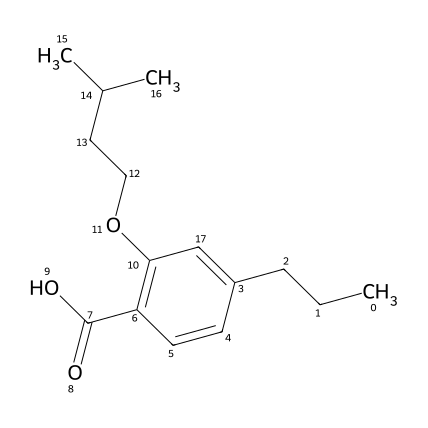 CCCc1ccc(C(=O)O)c(OCCC(C)C)c1